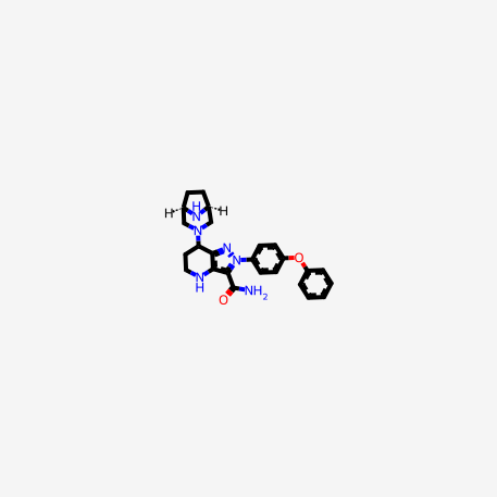 NC(=O)c1c2c(nn1-c1ccc(Oc3ccccc3)cc1)C(N1C[C@H]3CC[C@@H](C1)N3)CCN2